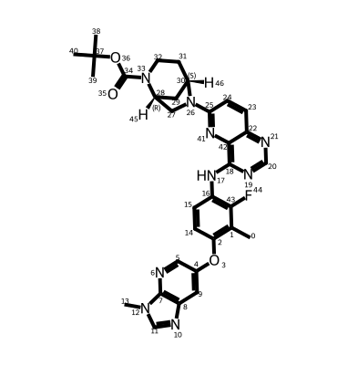 Cc1c(Oc2cnc3c(c2)ncn3C)ccc(Nc2ncnc3ccc(N4C[C@H]5C[C@@H]4CCN5C(=O)OC(C)(C)C)nc23)c1F